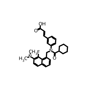 CN(C)c1ccc2cccc(CN(C(=O)C3CCCCC3)c3cccc(C=CC(=O)O)c3)c2c1F